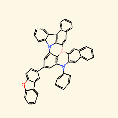 c1ccc(N2c3cc4ccccc4cc3B3c4c2cc(-c2ccc5oc6ccccc6c5c2)cc4-n2c4ccccc4c4c5ccccc5cc3c42)cc1